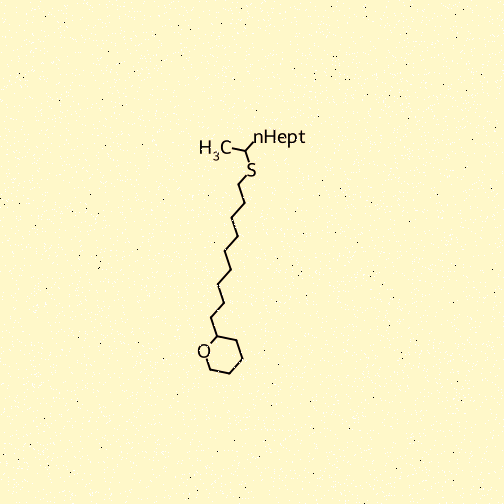 CCCCCCCC(C)SCCCCCCCCCC1CCCCO1